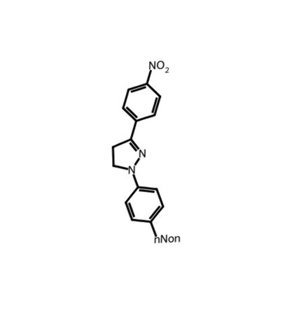 CCCCCCCCCc1ccc(N2CCC(c3ccc([N+](=O)[O-])cc3)=N2)cc1